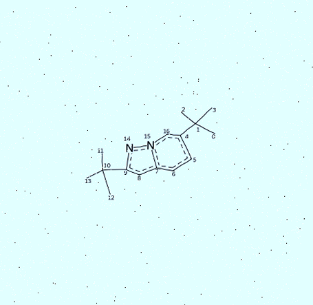 CC(C)(C)c1ccc2cc(C(C)(C)C)nn2c1